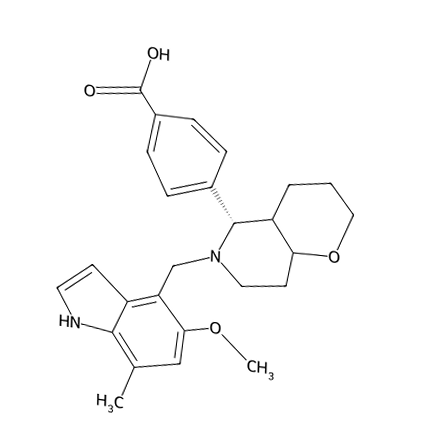 COc1cc(C)c2[nH]ccc2c1CN1CCC2OCCCC2[C@H]1c1ccc(C(=O)O)cc1